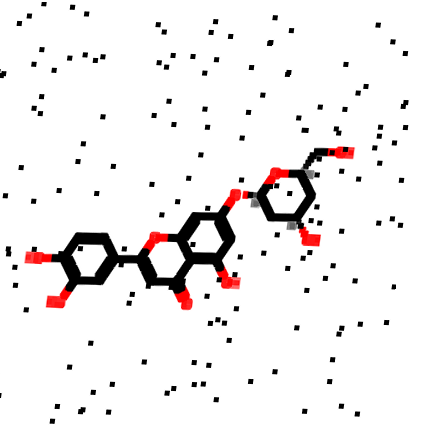 O=c1cc(-c2ccc(O)c(O)c2)oc2cc(O[C@H]3C[C@@H](O)C[C@@H](CO)O3)cc(O)c12